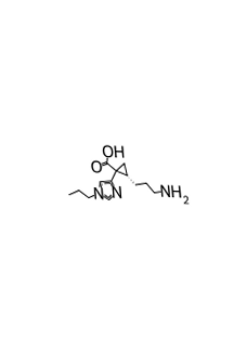 CCCn1cnc(C2(C(=O)O)C[C@@H]2CCCN)c1